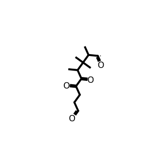 CC([C]=O)C(C)(C)C(C)C(=O)C(=O)CCC=O